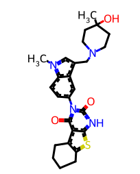 Cn1cc(CN2CCC(C)(O)CC2)c2cc(-n3c(=O)[nH]c4sc5c(c4c3=O)CCCC5)ccc21